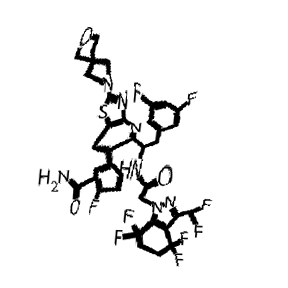 NC(=O)c1cc(-c2cc3sc(N4CC5(COC5)C4)nc3nc2C(Cc2cc(F)cc(F)c2)NC(=O)Cn2nc(C(F)F)c3c2C(F)(F)CCC3(F)F)ccc1F